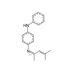 CC(C)=C/C(C)=N\c1ccc(Nc2ccccc2)cc1